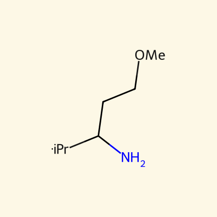 COCCC(N)[C](C)C